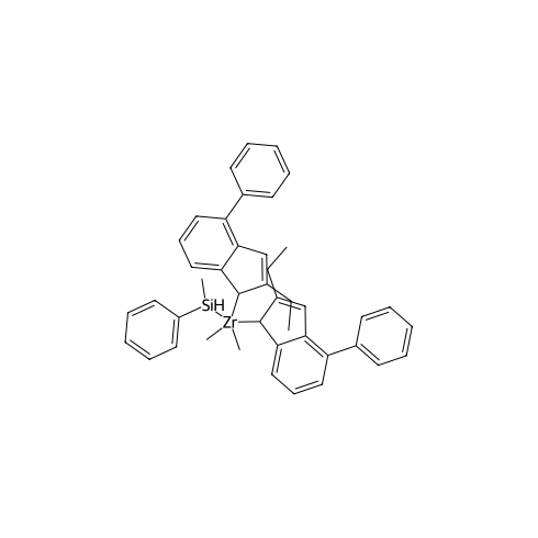 CCC1=Cc2c(-c3ccccc3)cccc2[CH]1[Zr]([CH3])([CH3])([CH]1C(CC)=Cc2c(-c3ccccc3)cccc21)[SiH](C)c1ccccc1